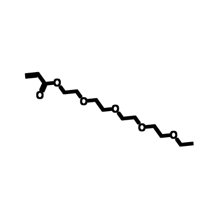 C=CC(=O)OCCOCCOCCOCCOCC